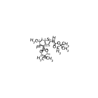 Cc1cc2sc(NC(=O)OC(C)(C)C)cc2c(B2OCC(C)(C)CO2)c1F